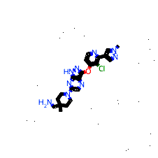 Cn1cc(-c2nccc(Oc3n[nH]c4nc(N5CCC(C)(CN)CC5)cnc34)c2Cl)cn1